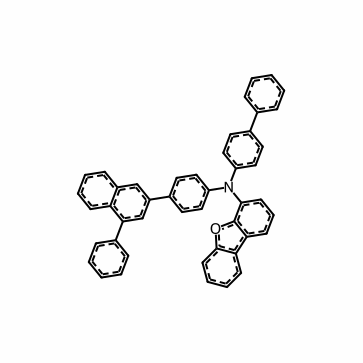 c1ccc(-c2ccc(N(c3ccc(-c4cc(-c5ccccc5)c5ccccc5c4)cc3)c3cccc4c3oc3ccccc34)cc2)cc1